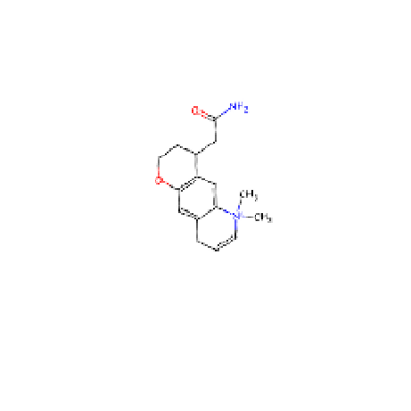 C[N+]1(C)C=CCc2cc3c(cc21)C(CC(N)=O)CCO3